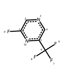 Fc1[c]ncc(C(F)(F)F)n1